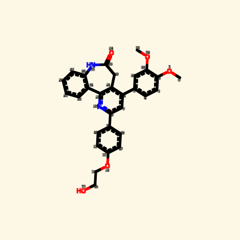 COc1ccc(-c2cc(-c3ccc(OCCO)cc3)nc3c2CC(=O)Nc2ccccc2-3)cc1OC